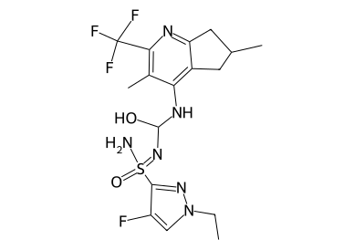 CCn1cc(F)c(S(N)(=O)=NC(O)Nc2c(C)c(C(F)(F)F)nc3c2CC(C)C3)n1